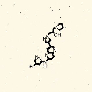 CC(C)c1cnnc(Nc2ccc3ncc(-c4cnn(CC(O)CN5CCCC5)c4)cc3n2)c1